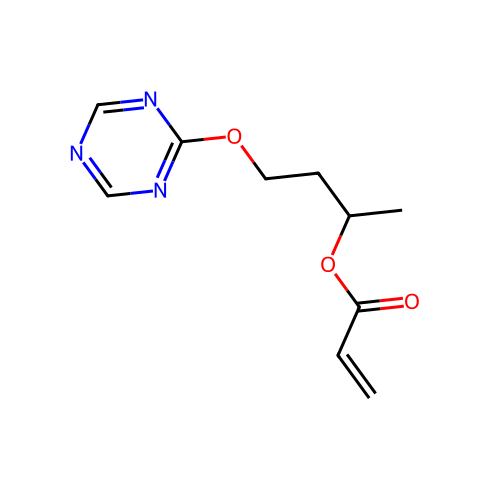 C=CC(=O)OC(C)CCOc1ncncn1